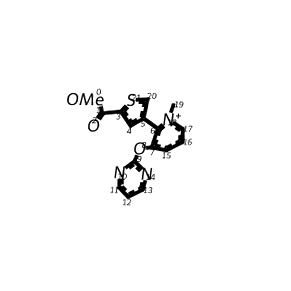 COC(=O)c1cc(-c2c(Oc3ncccn3)ccc[n+]2C)cs1